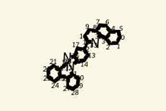 c1ccc2c(c1)ccc1ccc(-c3ccc4c(c3)nc3c5ccccc5c5ccccc5n43)nc12